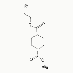 CCCCOC(=O)C1CCC(C(=O)OCCC(C)C)CC1